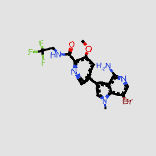 COc1cc(-c2cn(C)c3c(Br)cnc(N)c23)cnc1C(=O)NCC(F)(F)F